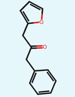 O=C(Cc1ccccc1)Cc1ccco1